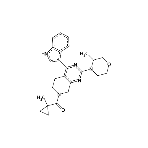 CC1COCCN1c1nc2c(c(-c3c[nH]c4ccccc34)n1)CCN(C(=O)C1(C)CC1)C2